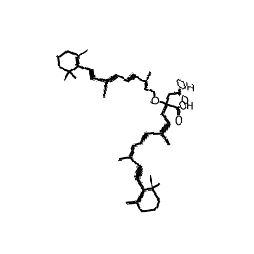 CC(C=CC1=C(C)CCCC1(C)C)=CC=CC(C)=CCOC(CC=C(C)C=CC=C(C)C=CC1=C(C)CCCC1(C)C)(CC(=O)O)C(=O)O